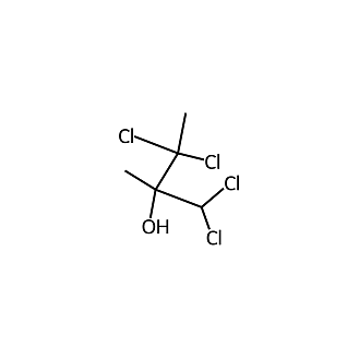 CC(Cl)(Cl)C(C)(O)C(Cl)Cl